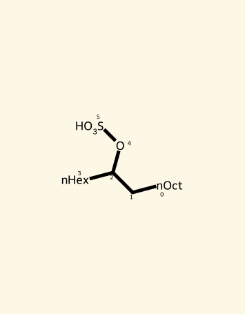 CCCCCCCCCC(CCCCCC)OS(=O)(=O)O